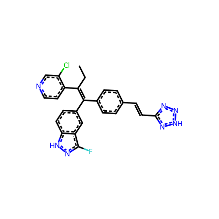 CCC(=C(c1ccc(C=Cc2nn[nH]n2)cc1)c1ccc2[nH]nc(F)c2c1)c1ccncc1Cl